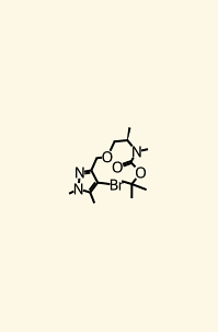 Cc1c(Br)c(COC[C@@H](C)N(C)C(=O)OC(C)(C)C)nn1C